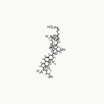 CCCCCCCC/C=C\CCCCCCCCC(OP(=O)([O-])OCC[N+](C)(C)C)C(CO)OC(=O)C1CC[C@@]2(C)C(=CCC3C2CC[C@@]2(C)C3CC[C@@H]2[C@H](C)CCCC(C)C)C1